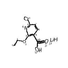 CCOc1nc(Cl)ccc1C(=O)O.[LiH]